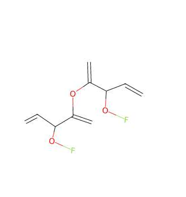 C=CC(OF)C(=C)OC(=C)C(C=C)OF